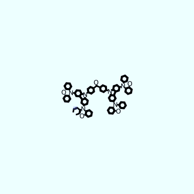 C/C=C\C1=C(C)Oc2ccccc2N1c1ccc2c(c1)c1cc(N3c4ccccc4Oc4ccccc43)ccc1n2-c1ccc(C(=O)c2ccc(-n3c4ccc(N5c6ccccc6Oc6ccccc65)cc4c4cc(N5c6ccccc6Oc6ccccc65)ccc43)cc2)cc1